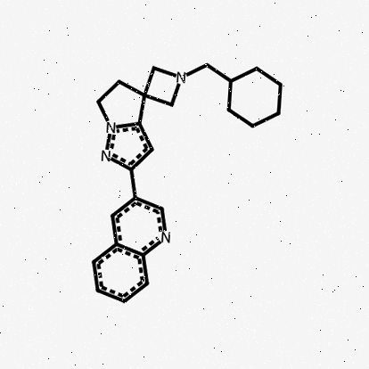 c1ccc2ncc(-c3cc4n(n3)CCC43CN(CC4CCCCC4)C3)cc2c1